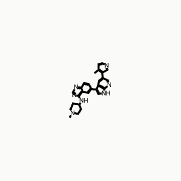 Cc1ccncc1-c1cnc2[nH]cc(-c3ccc4ncnc(NC5CCN(C)CC5)c4c3)c2c1